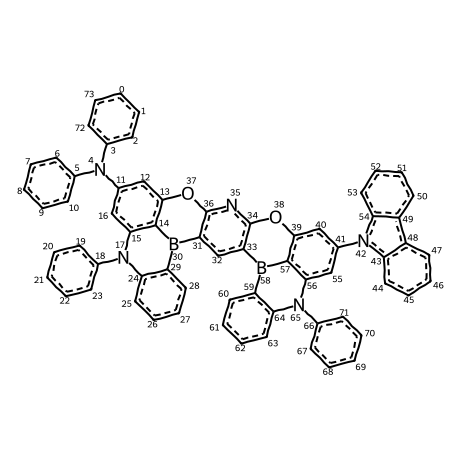 c1ccc(N(c2ccccc2)c2cc3c4c(c2)N(c2ccccc2)c2ccccc2B4c2cc4c(nc2O3)Oc2cc(-n3c5ccccc5c5ccccc53)cc3c2B4c2ccccc2N3c2ccccc2)cc1